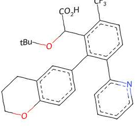 CC(C)(C)OC(C(=O)O)c1c(C(F)(F)F)ccc(-c2ccccn2)c1-c1ccc2c(c1)CCCO2